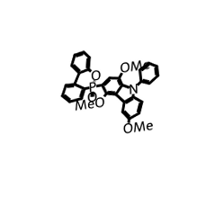 COc1ccc2c(c1)c1c(OC)c(P3(=O)Oc4ccccc4-c4ccccc43)cc(OC)c1n2-c1ccccc1